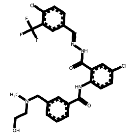 CN(CCO)Cc1cccc(C(=O)Nc2ccc(Cl)cc2C(=O)NN=Cc2ccc(Cl)c(C(F)(F)F)c2)c1